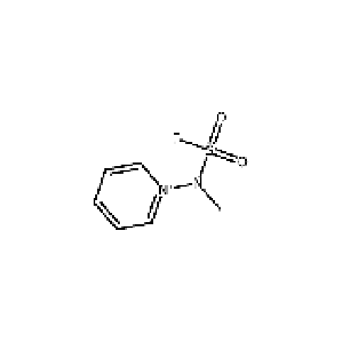 CN([n+]1ccccc1)S(=O)(=O)F